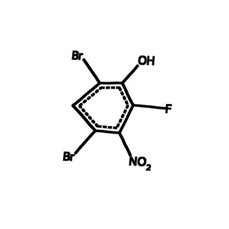 O=[N+]([O-])c1c(Br)cc(Br)c(O)c1F